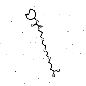 CCN(CC)CCCOCCOCCOCCCNC(=O)OC1CC/C=C/CCC1